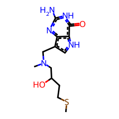 CSCCC(O)CN(C)Cc1c[nH]c2c(=O)[nH]c(N)nc12